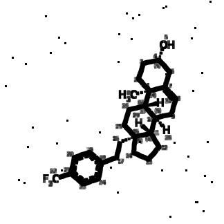 C[C@]12CC[C@H](O)CC1=CC[C@H]1[C@@H]3CCC[C@@]3(CCc3ccc(C(F)(F)F)cc3)CC[C@@H]12